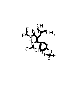 C/C=C(/CC)C/C(C(=N)NC(F)F)=C(/N=C(\C)Cl)c1ccc(OC(F)(F)F)cc1